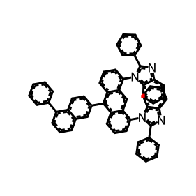 c1ccc(-c2cccc3cc(-c4c5cccc(-n6c(-c7ccccc7)nc7ccccc76)c5cc5c(-n6c(-c7ccccc7)nc7ccccc76)cccc45)ccc23)cc1